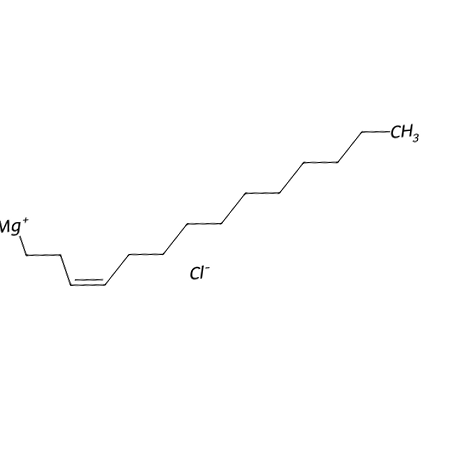 CCCCCCCCCC/C=C\C[CH2][Mg+].[Cl-]